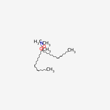 CCCCC/C=C\C/C=C\CCCCCCCCC(C)(CCCCCCCC/C=C\C=C\CCCCC)OC(=O)CN(C)C